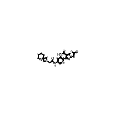 O=C(CN1CC2(CCCCO2)C1)Nc1cnc2c(c1)[nH]c(=O)c1c2nn2cc(Br)sc12